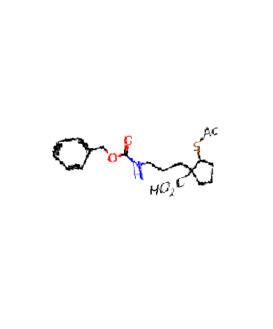 CC(=O)SC1CCCC1(CCCNC(=O)OCc1ccccc1)C(=O)O